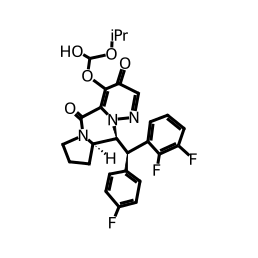 CC(C)OC(O)Oc1c2n(ncc1=O)[C@@H]([C@H](c1ccc(F)cc1)c1cccc(F)c1F)[C@H]1CCCN1C2=O